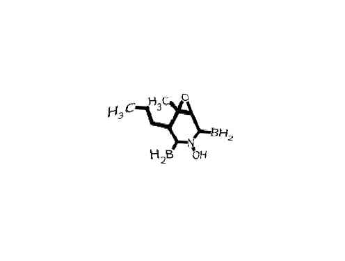 BC1C(CCC)C2(C)OC2C(B)N1O